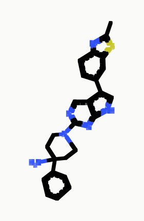 Cc1nc2ccc(-c3c[nH]c4nc(N5CCC(N)(c6ccccc6)CC5)ncc34)cc2s1